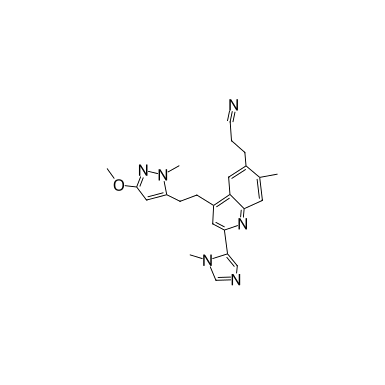 COc1cc(CCc2cc(-c3cncn3C)nc3cc(C)c(CCC#N)cc23)n(C)n1